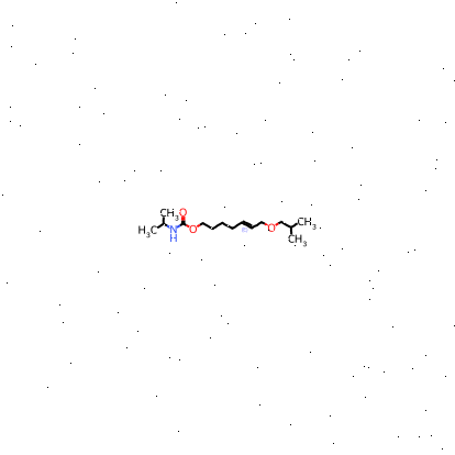 CC(C)COC/C=C/CCCCOC(=O)NC(C)C